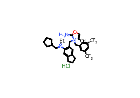 CCN(CC1CCCC1)c1cc2c(cc1C[N+]1(Cc3cc(C(F)(F)F)cc(C(F)(F)F)c3)C(C)=COC1N)CCC2.Cl